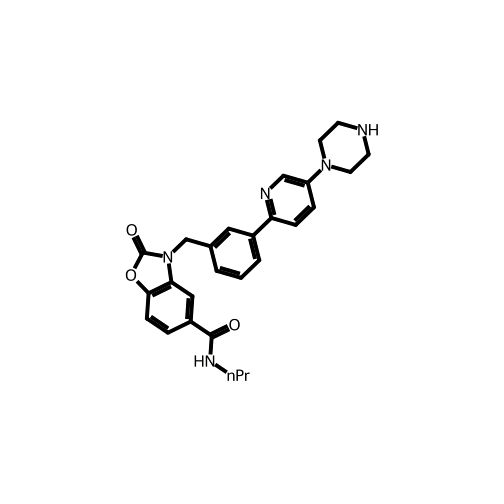 CCCNC(=O)c1ccc2oc(=O)n(Cc3cccc(-c4ccc(N5CCNCC5)cn4)c3)c2c1